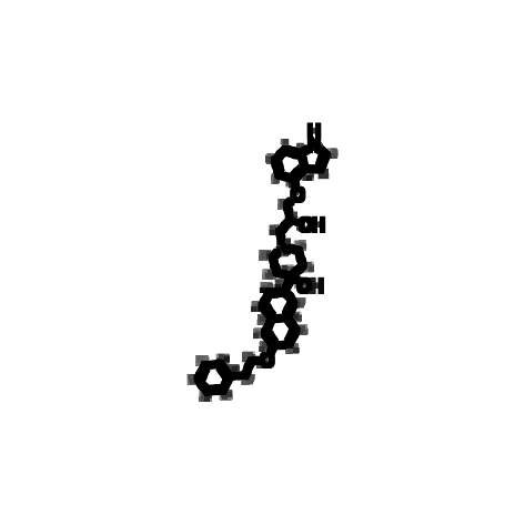 O[C@H](COc1cccc2[nH]ccc12)CN1CCC(O)(c2ccc3cc(OCCc4ccccc4)ccc3c2)CC1